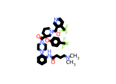 CN(C)CCCC(=O)Nc1ccccc1N1CCN(C(=O)C2(Oc3ccc(C(F)(F)F)cc3)CCCN(C(=O)c3cnccc3C(F)(F)F)C2)CC1